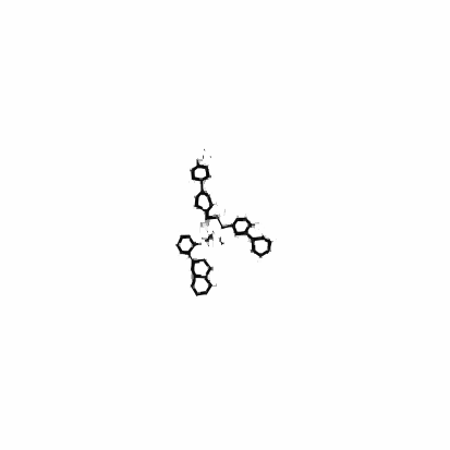 CN1C(Nc2ccccc2-c2ccc3ccccc3c2)=Nc2c(oc3cc(-c4ccc(C#N)cc4)ccc23)C1c1ccc2oc3ccccc3c2c1